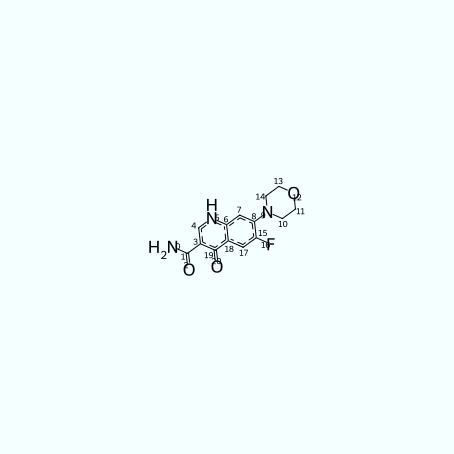 NC(=O)c1c[nH]c2cc(N3CCOCC3)c(F)cc2c1=O